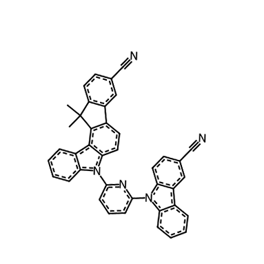 CC1(C)c2ccc(C#N)cc2-c2ccc3c(c21)c1ccccc1n3-c1cccc(-n2c3ccccc3c3cc(C#N)ccc32)n1